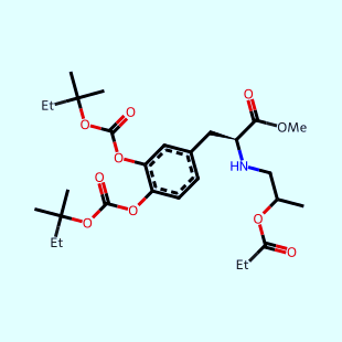 CCC(=O)OC(C)CN[C@@H](Cc1ccc(OC(=O)OC(C)(C)CC)c(OC(=O)OC(C)(C)CC)c1)C(=O)OC